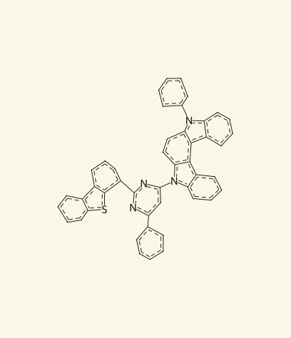 c1ccc(-c2cc(-n3c4ccccc4c4c5c6ccccc6n(-c6ccccc6)c5ccc43)nc(-c3cccc4c3sc3ccccc34)n2)cc1